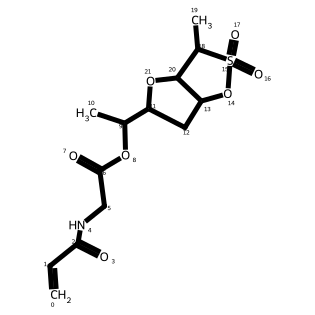 C=CC(=O)NCC(=O)OC(C)C1CC2OS(=O)(=O)C(C)C2O1